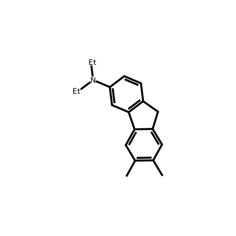 CCN(CC)c1ccc2c(c1)-c1cc(C)c(C)cc1C2